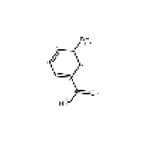 CC(=O)C1=CC=CC(N)C1